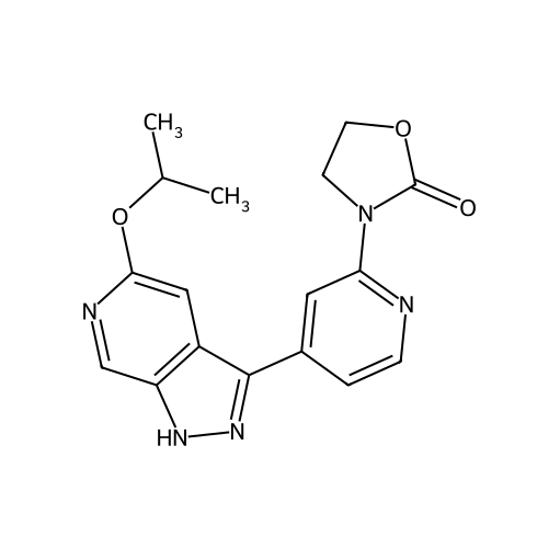 CC(C)Oc1cc2c(-c3ccnc(N4CCOC4=O)c3)n[nH]c2cn1